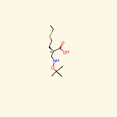 CCSCC[C@H](CNOC(C)(C)C)C(=O)O